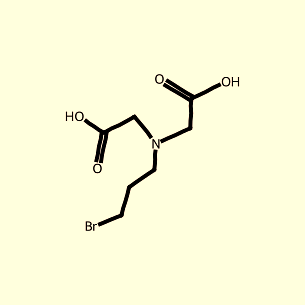 O=C(O)CN(CCCBr)CC(=O)O